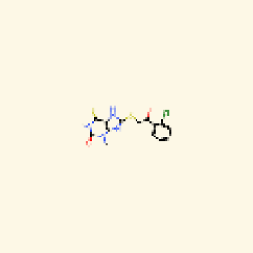 Cn1c(=S)c2[nH]c(SCC(=O)c3ccccc3Cl)nc2n(C)c1=O